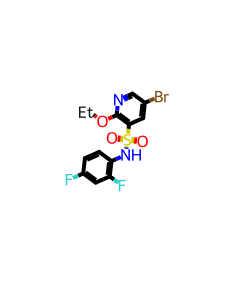 CCOc1ncc(Br)cc1S(=O)(=O)Nc1ccc(F)cc1F